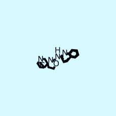 c1ccc2nc(NC3=NC4(CCO3)CN3CCC4CC3)ccc2c1